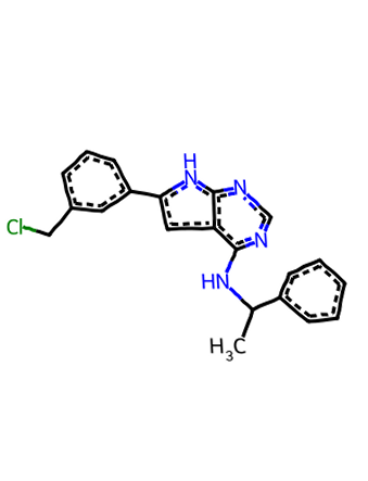 CC(Nc1ncnc2[nH]c(-c3cccc(CCl)c3)cc12)c1ccccc1